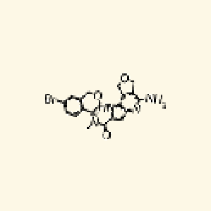 CN(C(=O)c1cc2nc(N)c3c(c2[nH]1)COC3)[C@H]1COCc2cc(Br)ccc21